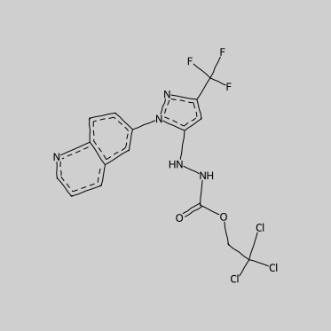 O=C(NNc1cc(C(F)(F)F)nn1-c1ccc2ncccc2c1)OCC(Cl)(Cl)Cl